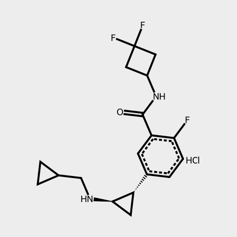 Cl.O=C(NC1CC(F)(F)C1)c1cc([C@@H]2C[C@H]2NCC2CC2)ccc1F